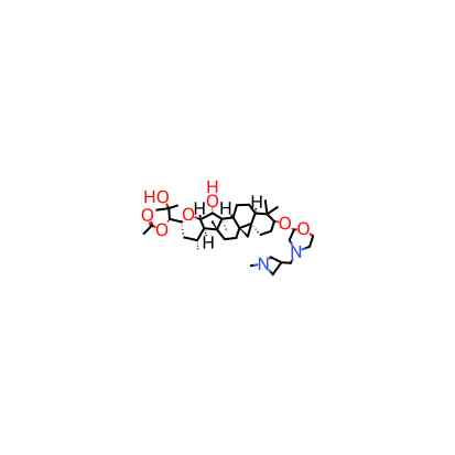 CC(=O)O[C@@H]([C@H]1C[C@@H](C)[C@H]2[C@H](O1)[C@H](O)[C@@]1(C)[C@@H]3CC[C@H]4C(C)(C)[C@@H](O[C@H]5CN(CC6CN(C)C6)CCO5)CC[C@@]45C[C@@]35CC[C@]21C)C(C)(C)O